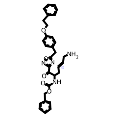 NC/C=C/CC(NC(=O)OCc1ccccc1)C(=O)c1noc(Cc2ccc(OCCc3ccccc3)cc2)n1